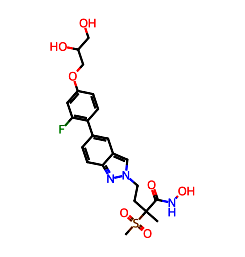 CC(CCn1cc2cc(-c3ccc(OCC(O)CO)cc3F)ccc2n1)(C(=O)NO)S(C)(=O)=O